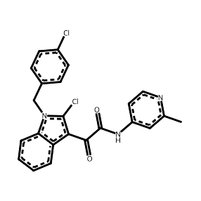 Cc1cc(NC(=O)C(=O)c2c(Cl)n(Cc3ccc(Cl)cc3)c3ccccc23)ccn1